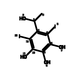 CC(O)c1c(I)c(O)c(O)c(O)c1I